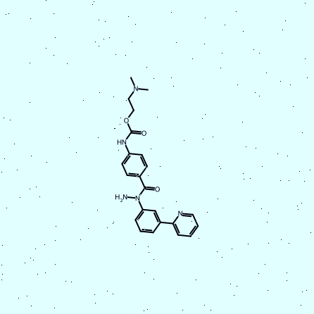 CN(C)CCOC(=O)Nc1ccc(C(=O)N(N)c2cccc(-c3ccccn3)c2)cc1